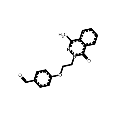 Cc1nn(CCOc2ccc(C=O)cc2)c(=O)c2ccccc12